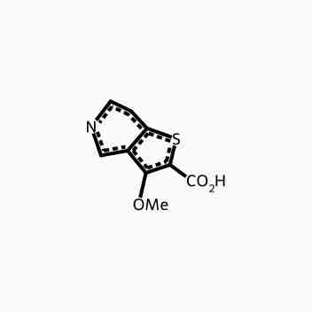 COc1c(C(=O)O)sc2ccncc12